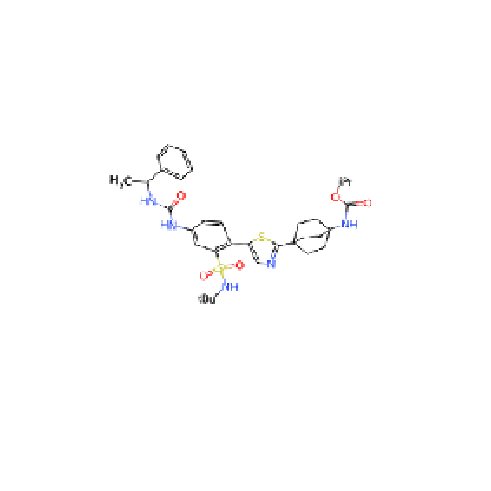 CC(C)OC(=O)NC12CCC(c3ncc(-c4ccc(NC(=O)NC(C)c5ccccc5)cc4S(=O)(=O)NC(C)(C)C)s3)(CC1)CC2